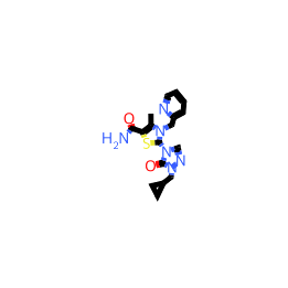 CC1=C(C(N)=O)SC(n2cnn(CC3CC3)c2=O)N1Cc1ccccn1